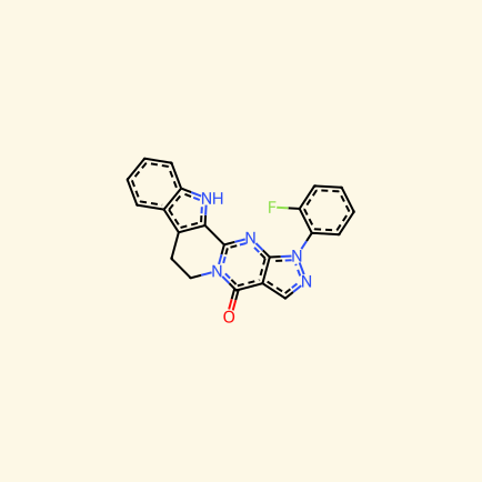 O=c1c2cnn(-c3ccccc3F)c2nc2n1CCc1c-2[nH]c2ccccc12